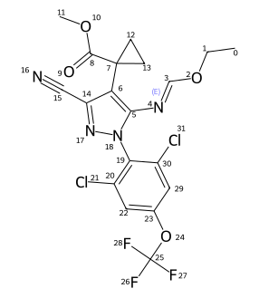 CCO/C=N/c1c(C2(C(=O)OC)CC2)c(C#N)nn1-c1c(Cl)cc(OC(F)(F)F)cc1Cl